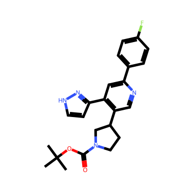 CC(C)(C)OC(=O)N1CCC(c2cnc(-c3ccc(F)cc3)cc2-c2cc[nH]n2)C1